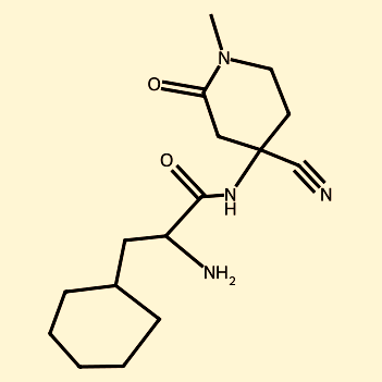 CN1CCC(C#N)(NC(=O)C(N)CC2CCCCC2)CC1=O